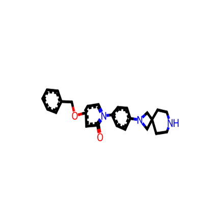 O=c1cc(OCc2ccccc2)ccn1-c1ccc(N2CC3(CCNCC3)C2)cc1